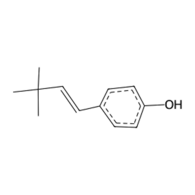 CC(C)(C)C=Cc1ccc(O)cc1